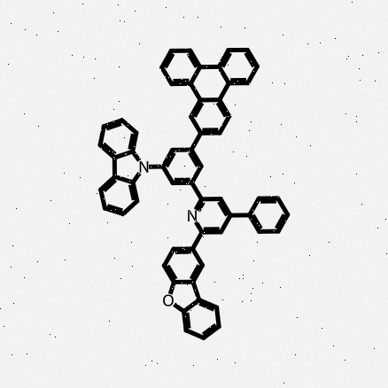 c1ccc(-c2cc(-c3cc(-c4ccc5c6ccccc6c6ccccc6c5c4)cc(-n4c5ccccc5c5ccccc54)c3)nc(-c3ccc4oc5ccccc5c4c3)c2)cc1